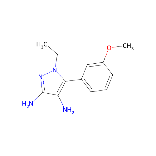 CCn1nc(N)c(N)c1-c1cccc(OC)c1